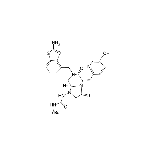 CCCCNC(=O)NN1CC(=O)N2[C@@H]1CN(Cc1cccc3sc(N)nc13)C(=O)[C@@H]2Cc1ccc(O)cn1